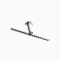 CCCCCCCCCCCCCCCCCCN(CCCCCCCCCCCCCCCCCC)C(=O)CCCCCCCCC(N)=O